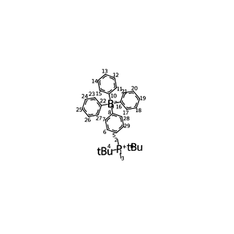 CC(C)(C)[P+](C)(C)C(C)(C)C.c1ccc([B-](c2ccccc2)(c2ccccc2)c2ccccc2)cc1